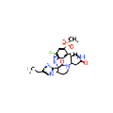 CCc1cnc([C@@]2(Nc3cc(C)c(S(C)(=O)=O)cc3F)CCCN(C3CCNC(=O)C3)C2=O)nc1